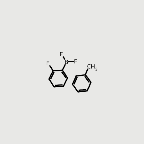 Cc1ccccc1.FB(F)c1ccccc1F